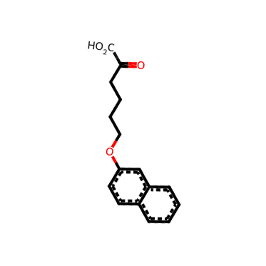 O=C(O)C(=O)CCCCOc1ccc2ccccc2c1